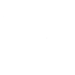 N#Cc1cc(-c2cnc(NC[C@H](N)Cc3ccc(C(F)(F)F)cc3)s2)ccc1F